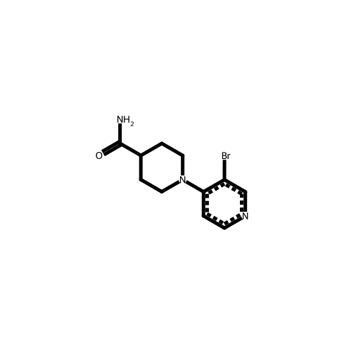 NC(=O)C1CCN(c2ccncc2Br)CC1